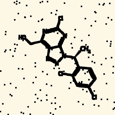 C[C@H](c1ccc(Cl)cc1Cl)n1nnc2c(CO)nc(Cl)nc21